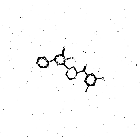 Cn1c(N2CCOC(C(=O)c3cc(Cl)cc(Cl)c3)C2)nc(-c2ccncn2)cc1=O